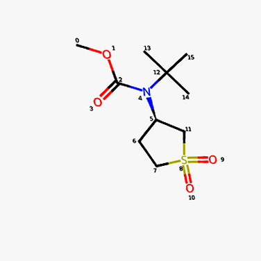 COC(=O)N([C@@H]1CCS(=O)(=O)C1)C(C)(C)C